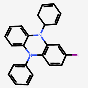 Ic1ccc2c(c1)N(C1C=CC=CC1)c1ccccc1N2c1ccccc1